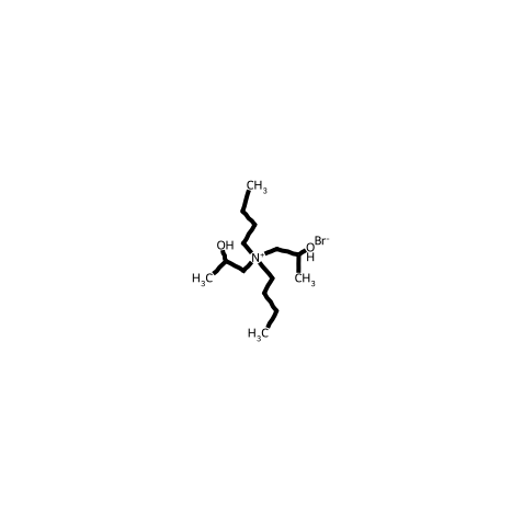 CCCC[N+](CCCC)(CC(C)O)CC(C)O.[Br-]